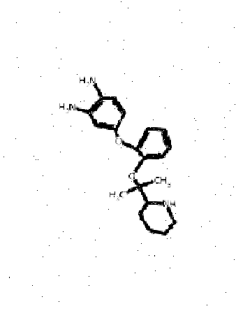 CC(C)(Oc1ccccc1Oc1ccc(N)c(N)c1)C1CCCCN1